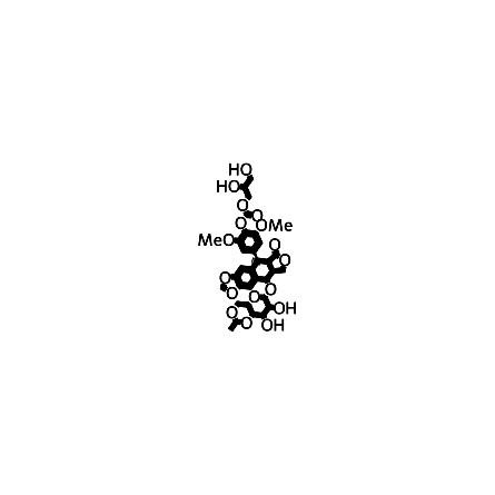 COc1cc([C@@H]2c3cc4c(cc3C(OC3OC5COC(C)OC5C(O)C3O)C3COC(=O)C32)OCO4)cc(OC)c1OC(=O)OCC(O)CO